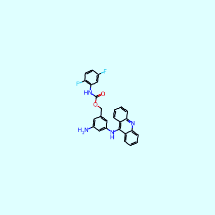 Nc1cc(COC(=O)Nc2cc(F)ccc2F)cc(Nc2c3ccccc3nc3ccccc23)c1